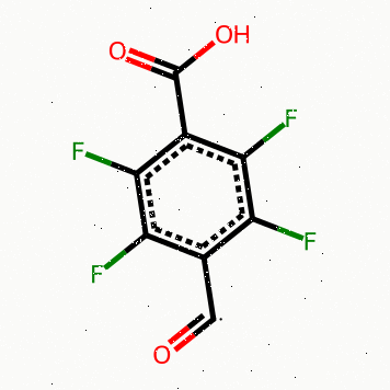 O=[C]c1c(F)c(F)c(C(=O)O)c(F)c1F